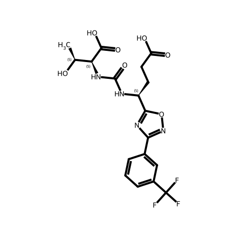 C[C@H](O)[C@H](NC(=O)N[C@@H](CCC(=O)O)c1nc(-c2cccc(C(F)(F)F)c2)no1)C(=O)O